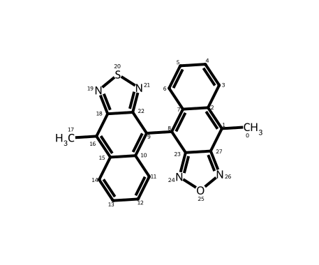 Cc1c2ccccc2c(-c2c3ccccc3c(C)c3nsnc23)c2nonc12